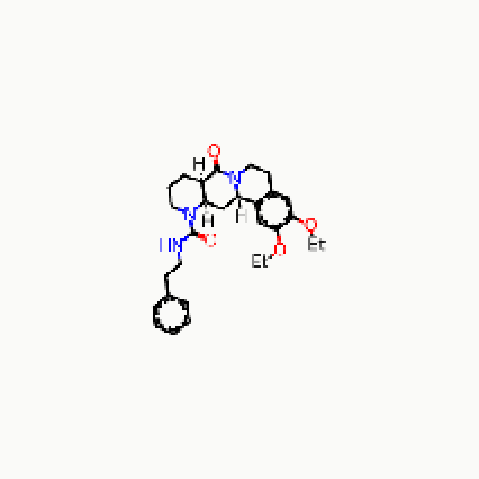 CCOc1cc2c(cc1OCC)[C@@H]1C[C@@H]3[C@@H](CCCN3C(=O)NCCc3ccccc3)C(=O)N1CC2